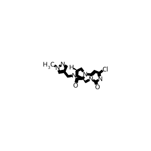 Cn1cc(CN2C(=O)[C@]34C[C@H]2CN3c2cc(Cl)nc(=O)n2C4)cn1